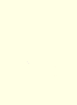 NC(Cc1ccccc1)C(F)(F)C(=O)O